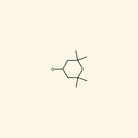 CC1(C)CC([O])CC(C)(C)O1